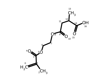 C=C(C)C(=O)OCCOC(=O)CC(C)C(=O)O